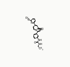 CCOc1cccc(-c2ccn3c(-c4cccc(NC(=O)NCC(F)(F)F)c4)cnc3c2)n1.Cl.Cl